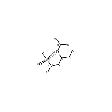 CCC(CN(C)S(C)(=O)=O)OC(C)C